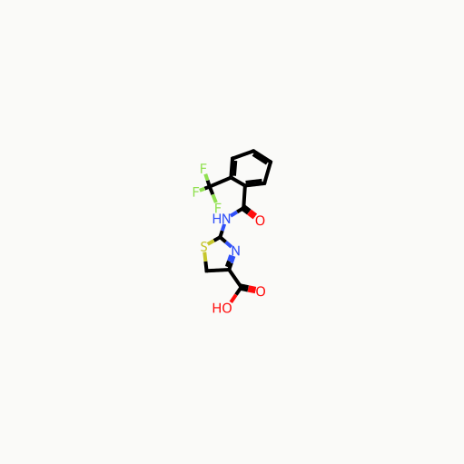 O=C(O)C1=NC(NC(=O)c2ccccc2C(F)(F)F)SC1